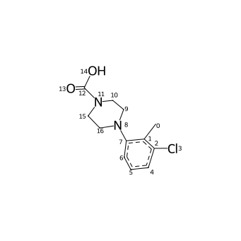 Cc1c(Cl)cccc1N1CCN(C(=O)O)CC1